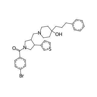 O=C(c1ccc(Br)cc1)N1CC(CN2CCC(O)(CCCc3ccccc3)CC2)C(c2ccsc2)C1